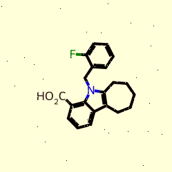 O=C(O)c1cccc2c3c(n(Cc4ccccc4F)c12)CCCCC3